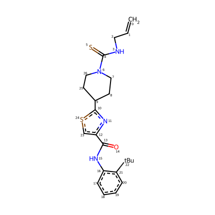 C=CCNC(=S)N1CCC(c2nc(C(=O)Nc3ccccc3C(C)(C)C)cs2)CC1